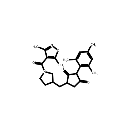 Cc1cc(C)c(C2C(=O)CC(CC3CCN(C(=O)c4c(C)noc4C)C3)C2=O)c(C)c1